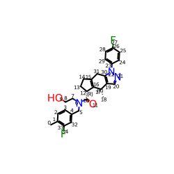 Cc1ccc(CN(CCO)C(=O)[C@@H]2CCC3=C2[C@@H](C)c2cnn(-c4ccc(F)cc4)c2C3)cc1F